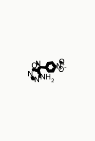 Nc1ncnc2onc(-c3ccc([N+](=O)[O-])cc3)c12